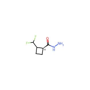 NNC(=O)[C@H]1CCC1C(F)F